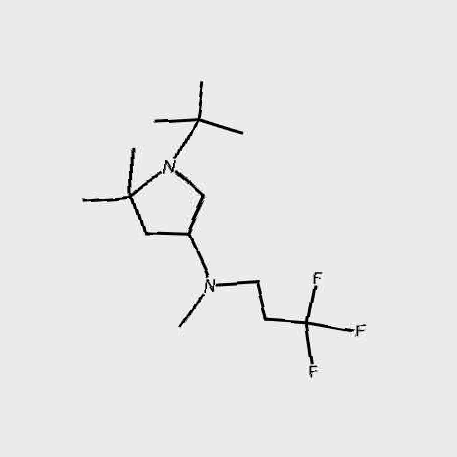 CN(CCC(F)(F)F)C1CN(C(C)(C)C)C(C)(C)C1